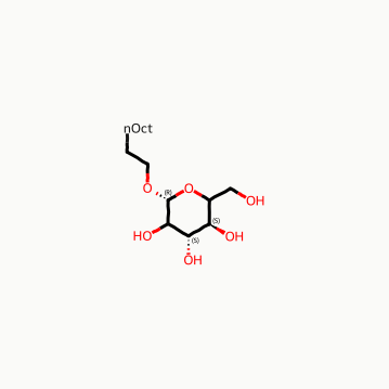 CCCCCCCCCCO[C@@H]1OC(CO)[C@@H](O)[C@H](O)C1O